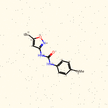 CNc1ccc(NC(=O)Nc2cc(C(C)(C)C)on2)cc1